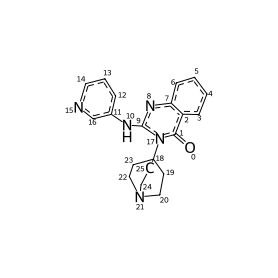 O=c1c2ccccc2nc(Nc2cccnc2)n1C12CCN(CC1)CC2